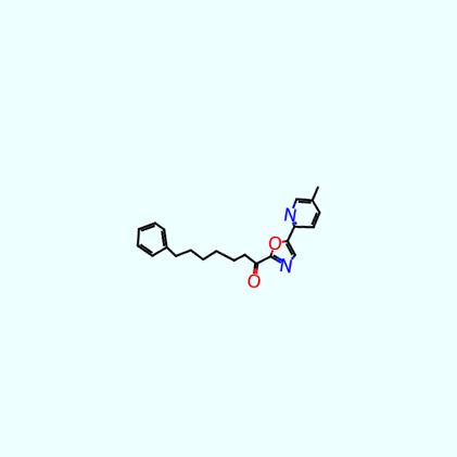 Cc1ccc(-c2cnc(C(=O)CCCCCCc3ccccc3)o2)nc1